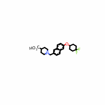 O=C(O)C1CCN(Cc2ccc3cc(OC4CCC(F)(F)CC4)ccc3c2)CC1